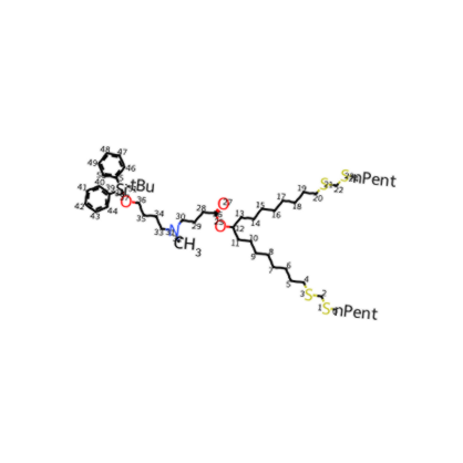 CCCCCSCSCCCCCCCCC(CCCCCCCCSCSCCCCC)OC(=O)CCCN(C)CCCCO[Si](c1ccccc1)(c1ccccc1)C(C)(C)C